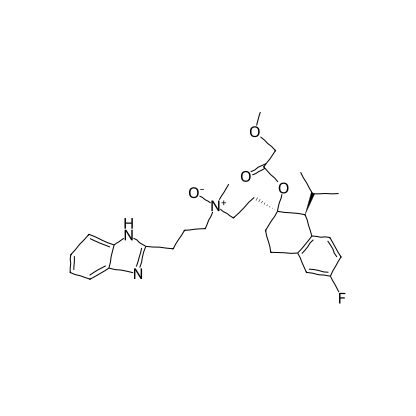 COCC(=O)O[C@]1(CC[N+](C)([O-])CCCc2nc3ccccc3[nH]2)CCc2cc(F)ccc2[C@@H]1C(C)C